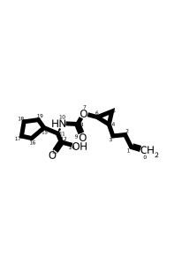 C=CCCC1CC1OC(=O)N[C@H](C(=O)O)C1CCCC1